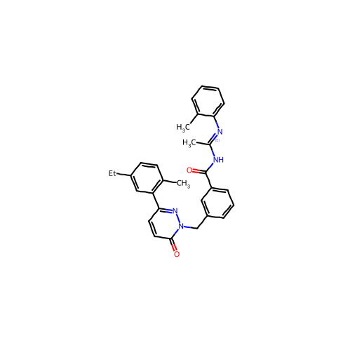 CCc1ccc(C)c(-c2ccc(=O)n(Cc3cccc(C(=O)N/C(C)=N/c4ccccc4C)c3)n2)c1